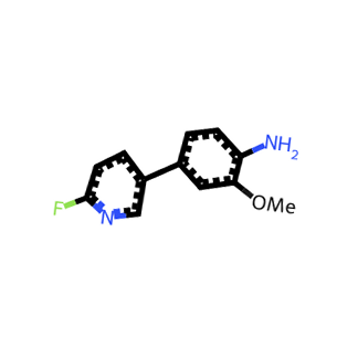 COc1cc(-c2ccc(F)nc2)ccc1N